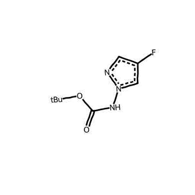 CC(C)(C)OC(=O)Nn1cc(F)cn1